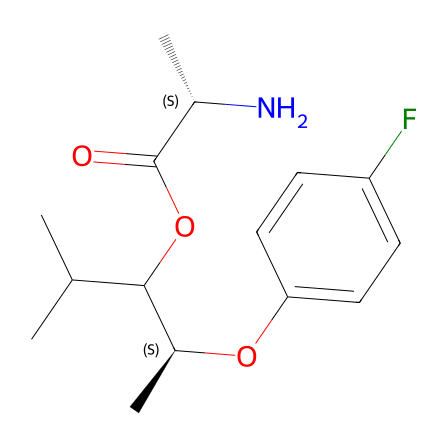 CC(C)C(OC(=O)[C@H](C)N)[C@H](C)Oc1ccc(F)cc1